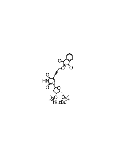 CC(C)(C)[Si](C)(C)OC[C@H]1O[C@@H](n2cc(C#CCON3C(=O)c4ccccc4C3=O)c(=O)[nH]c2=O)C[C@H]1O[Si](C)(C)C(C)(C)C